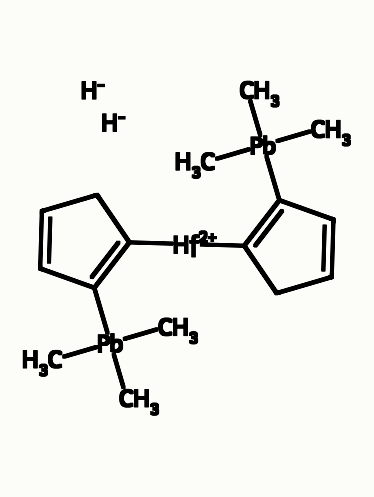 [CH3][Pb]([CH3])([CH3])[C]1=[C]([Hf+2][C]2=[C]([Pb]([CH3])([CH3])[CH3])C=CC2)CC=C1.[H-].[H-]